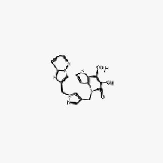 O=C(O)c1c(O)c(=O)n(Cc2cnn(Cc3cn4ncccc4n3)c2)c2ccsc12